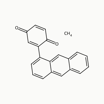 C.O=C1C=CC(=O)C(c2cccc3cc4ccccc4cc23)=C1